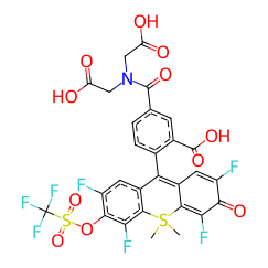 CS1(C)C2=C(F)C(=O)C(F)=CC2=C(c2ccc(C(=O)N(CC(=O)O)CC(=O)O)cc2C(=O)O)c2cc(F)c(OS(=O)(=O)C(F)(F)F)c(F)c21